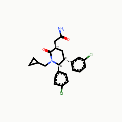 NC(=O)C[C@H]1C[C@H](c2cccc(Cl)c2)[C@@H](c2ccc(Cl)cc2)N(CC2CC2)C1=O